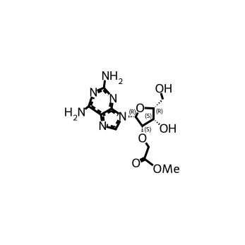 COC(=O)CO[C@H]1[C@@H](O)[C@@H](CO)O[C@H]1n1cnc2c(N)nc(N)nc21